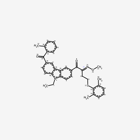 CCn1c2ccc(C(=O)/C(CCSc3c(C)cccc3C)=N/OC)cc2c2cc(C(=O)c3ccccc3C)ccc21